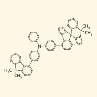 CC1(C)c2ccccc2C2(c3ccccc3-c3c(-c4ccc(N(c5ccccc5)c5ccc(-c6cccc7c6-c6ccccc6C7(C)C)cc5)cc4)cccc32)c2ccccc21